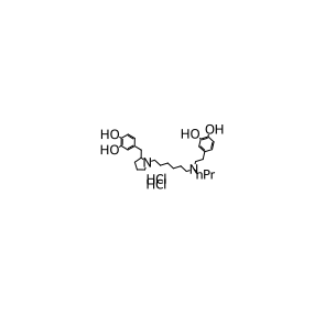 CCCN(CCCCCCN1CCCC1Cc1ccc(O)c(O)c1)CCc1ccc(O)c(O)c1.Cl.Cl